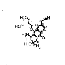 CCCCOc1c(CN)n(CC(C)(C)C)c(=O)c2ccc(CC#N)cc12.Cl